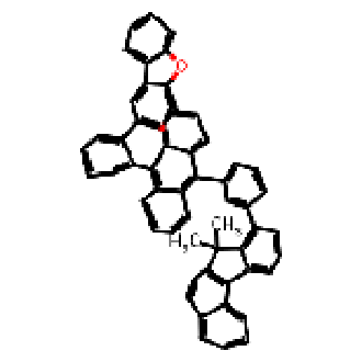 CC1(C)c2ccc3ccccc3c2-c2cccc(-c3cccc(-c4c5ccccc5c(-c5ccccc5-c5ccc6oc7ccccc7c6c5)c5ccccc45)c3)c21